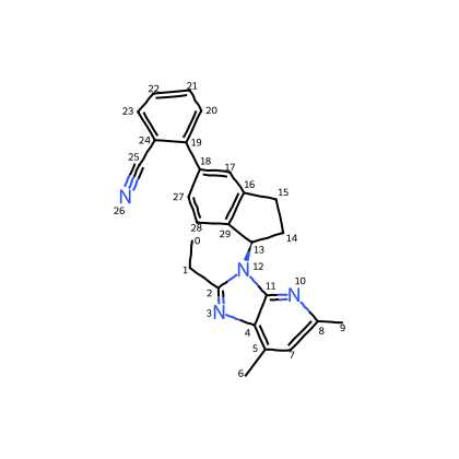 CCc1nc2c(C)cc(C)nc2n1[C@@H]1CCc2cc(-c3ccccc3C#N)ccc21